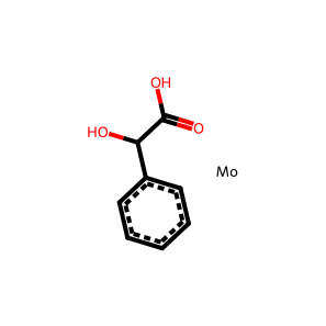 O=C(O)C(O)c1ccccc1.[Mo]